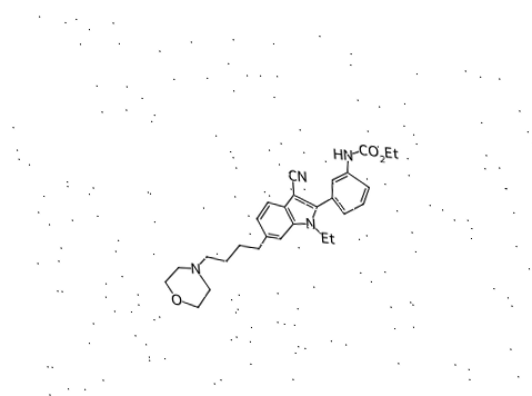 CCOC(=O)Nc1cccc(-c2c(C#N)c3ccc(CCCCN4CCOCC4)cc3n2CC)c1